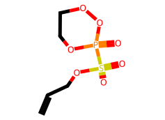 C=CCOS(=O)(=O)P1(=O)OCCOO1